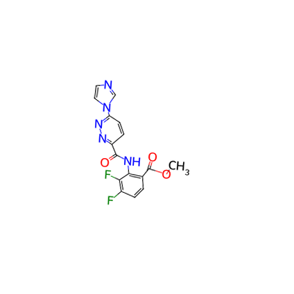 COC(=O)c1ccc(F)c(F)c1NC(=O)c1ccc(-n2ccnc2)nn1